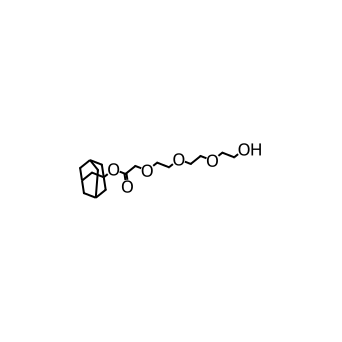 O=C(COCCOCCOCCO)OC12CC3CC(CC(C3)C1)C2